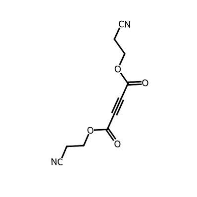 N#CCCOC(=O)C#CC(=O)OCCC#N